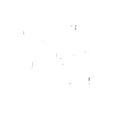 N#Cc1cn(Cc2ccc(F)cc2F)c2cc(F)c(F)cc2c1=O